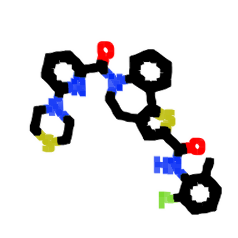 Cc1cccc(F)c1NC(=O)c1cc2c(s1)-c1ccccc1N(C(=O)c1cccc(N3CCSCC3)n1)CC2